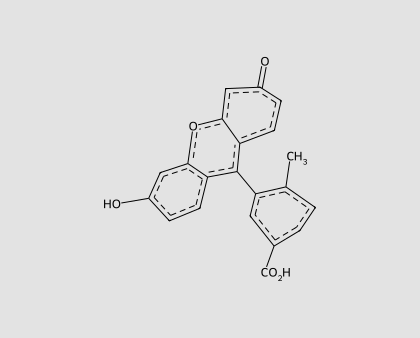 Cc1ccc(C(=O)O)cc1-c1c2ccc(=O)cc-2oc2cc(O)ccc12